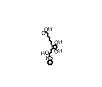 O=C(O)CCCCCC[C@@H]1C(CCC(O)c2nc3ccccc3s2)[C@H](O)C[C@@H]1O